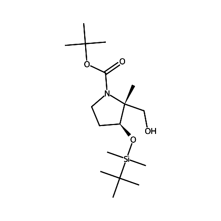 CC(C)(C)OC(=O)N1CC[C@H](O[Si](C)(C)C(C)(C)C)[C@@]1(C)CO